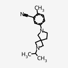 Cc1ccc(N2CCC3(C2)CN(C(C)C)C3)cc1C#N